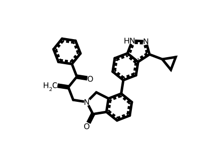 C=C(CN1Cc2c(cccc2-c2ccc3[nH]nc(C4CC4)c3c2)C1=O)C(=O)c1ccccc1